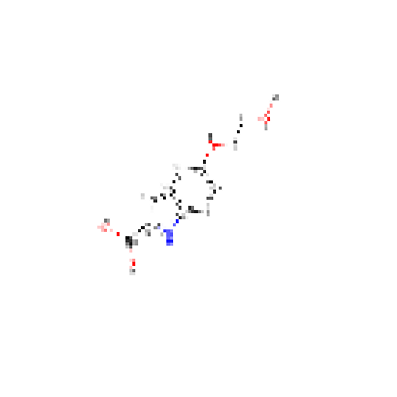 COCCOc1ccc2[nH]c(C(=O)O)cc2c1